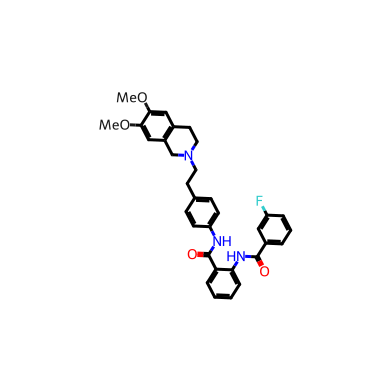 COc1cc2c(cc1OC)CN(CCc1ccc(NC(=O)c3ccccc3NC(=O)c3cccc(F)c3)cc1)CC2